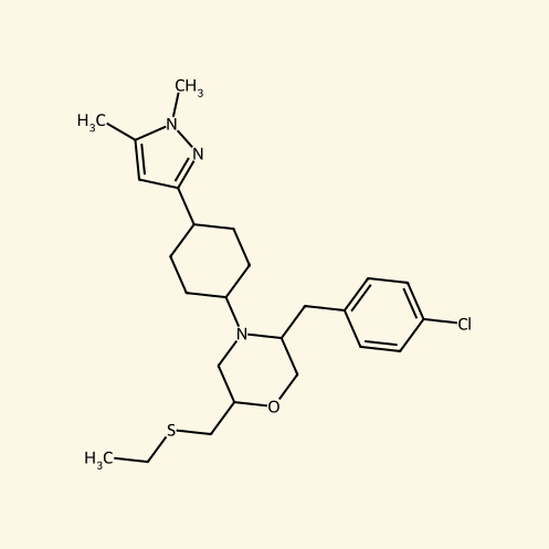 CCSCC1CN(C2CCC(c3cc(C)n(C)n3)CC2)C(Cc2ccc(Cl)cc2)CO1